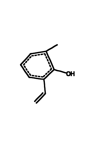 C=Cc1cccc(C)c1O